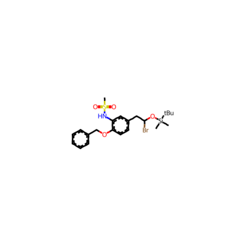 CC(C)(C)[Si](C)(C)OC(Br)Cc1ccc(OCc2ccccc2)c(NS(C)(=O)=O)c1